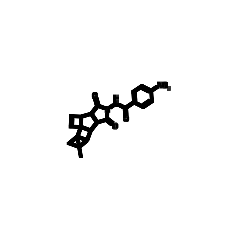 CC12CC13C2C1C2C(=O)N(NC(=O)c4ccc([N+](=O)[O-])cc4)C(=O)C2C2C=CC213